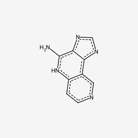 Nc1[nH]c2ccncc2c2ncnc1-2